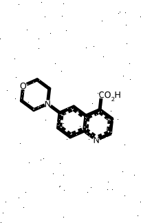 O=C(O)c1ccnc2ccc(N3CCOCC3)cc12